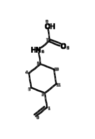 C=CC1CCC(NC(=O)O)CC1